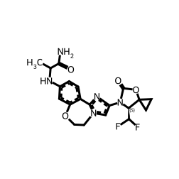 CC(Nc1ccc2c(c1)OCCn1cc(N3C(=O)OC4(CC4)[C@H]3C(F)F)nc1-2)C(N)=O